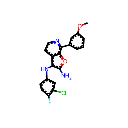 COc1cccc(-c2nccc3c(Nc4ccc(F)c(Cl)c4)c(N)oc23)c1